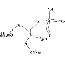 CSSC(S)(SSC)SS(C)(=O)=O